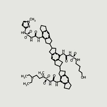 CCN(CC)CCN(C)S(=O)(=O)NC(=O)Nc1c2c(cc3c1CC(C1Cc4cc5c(c(NC(=O)NS(=O)(=O)NCCCCO)c4C1)CC(C1Cc4cc6c(c(NC(=O)NS(=O)(=O)Nc7ccn(C)n7)c4C1)CCC6)C5)C3)CCC2